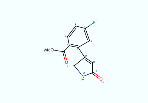 COC(=O)c1ccc(F)cc1C1=CC(=O)NC1